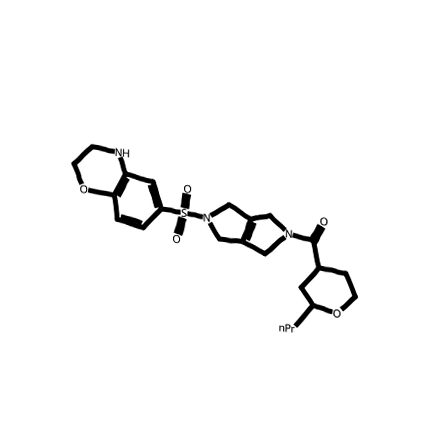 CCCC1CC(C(=O)N2CC3=C(C2)CN(S(=O)(=O)c2ccc4c(c2)NCCO4)C3)CCO1